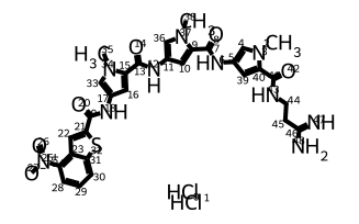 Cl.Cl.Cn1cc(NC(=O)c2cc(NC(=O)c3cc(NC(=O)c4cc5c([N+](=O)[O-])cccc5s4)cn3C)cn2C)cc1C(=O)NCCC(=N)N